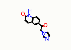 O=C(Cn1ccnc1)c1ccc2[nH]c(=O)ccc2c1